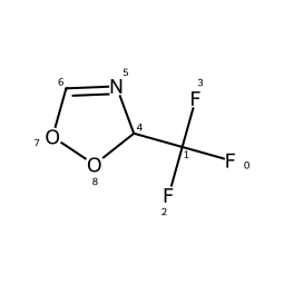 FC(F)(F)C1N=COO1